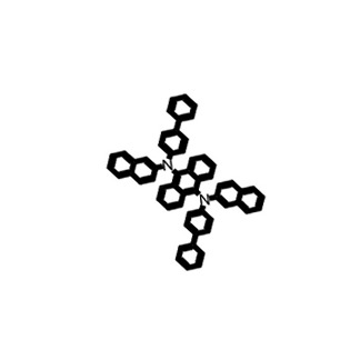 c1ccc(-c2ccc(N(c3ccc4ccccc4c3)c3c4ccccc4c(N(c4ccc(-c5ccccc5)cc4)c4ccc5ccccc5c4)c4ccccc34)cc2)cc1